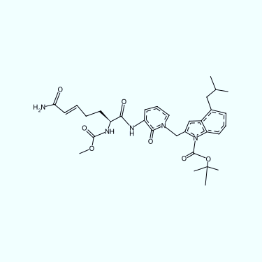 COC(=O)N[C@@H](CC/C=C/C(N)=O)C(=O)Nc1cccn(Cc2cc3c(CC(C)C)cccc3n2C(=O)OC(C)(C)C)c1=O